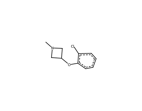 CN1CC(Oc2ccccc2Cl)C1